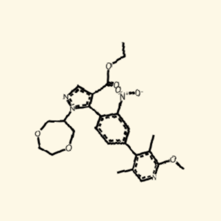 CCOC(=O)c1cnn(C2COCCOC2)c1-c1ccc(-c2c(C)cnc(OC)c2C)cc1[N+](=O)[O-]